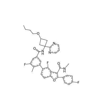 CCCCOC1CC(NC(=O)c2cc(F)c(C)c(-c3ccc4oc(-c5ccc(F)cc5)c(C(=O)NC)c4c3F)c2)(c2ncccn2)C1